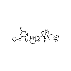 CC1(NC(=O)c2cn3nc(Oc4ncc(F)cc4OC4CCC4)ccc3n2)CCS(=O)(=O)CC1